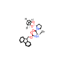 CC(C)C[C@H](NC(=O)OCC1c2ccccc2-c2ccccc21)C(=O)N1CCC[C@H]1B1O[C@@H]2C[C@@H]3C[C@@H](C3(C)C)[C@]2(C)O1